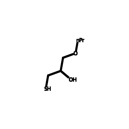 CCCOCC(O)CS